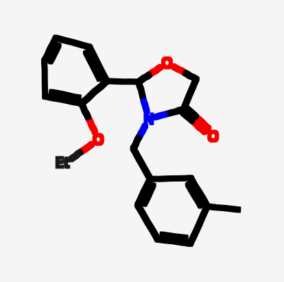 CCOc1ccccc1C1OCC(=O)N1Cc1cccc(C)c1